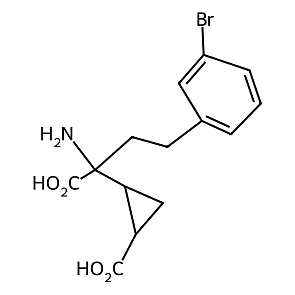 NC(CCc1cccc(Br)c1)(C(=O)O)C1CC1C(=O)O